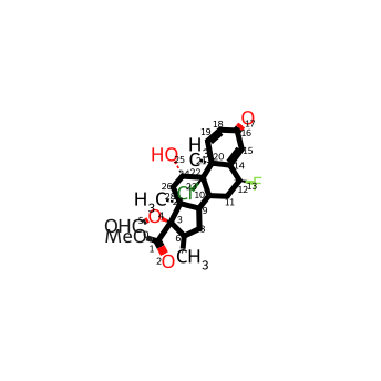 COC(=O)[C@@]1(OC=O)C(C)CC2C3C[C@H](F)C4=CC(=O)C=C[C@]4(C)[C@@]3(Cl)[C@@H](O)C[C@@]21C